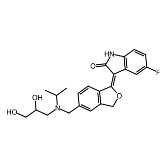 CC(C)N(Cc1ccc2c(c1)COC2=C1C(=O)Nc2ccc(F)cc21)CC(O)CO